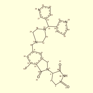 O=C1CCC(N2Cc3cc(CN4CCN(C(c5cccnc5)c5cccnc5)CC4)cc(F)c3C2=O)C(=O)N1